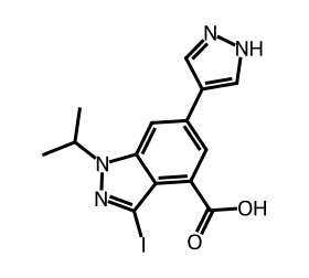 CC(C)n1nc(I)c2c(C(=O)O)cc(-c3cn[nH]c3)cc21